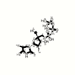 C#C[C@]1(COP(=O)(O)OP(=O)(O)OP(=O)(O)O)O[C@@H](n2cc(F)c(=S)[nH]c2=S)[C@@H](F)[C@H]1O